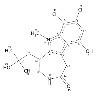 Cn1c2c(c3c(O)cc(Cl)c(Cl)c31)CC(=O)NCC2CC(C)(C)O